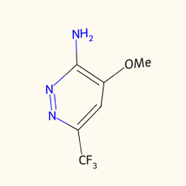 COc1cc(C(F)(F)F)nnc1N